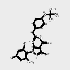 Cc1cc(Cl)cc(Cl)c1-n1nc(C(C)C)c2c(=O)[nH]c(Cc3ccc(OC(C)(C)C=O)cc3)nc21